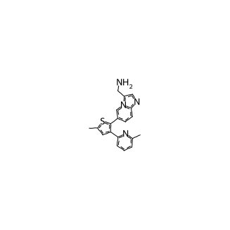 Cc1cccc(-c2cc(C)sc2-c2ccc3ncc(CN)n3c2)n1